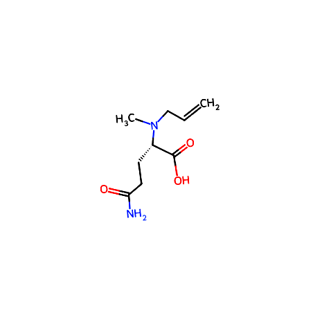 C=CCN(C)[C@@H](CCC(N)=O)C(=O)O